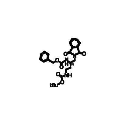 CC(C)(C)OC(=O)NCC[C@H](CN1C(=O)c2ccccc2C1=O)NC(=O)OCc1ccccc1